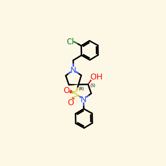 O=S1(=O)N(c2ccccc2)C[C@H](O)[C@]12CCN(Cc1ccccc1Cl)C2